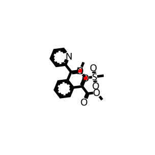 CO/C=C(/C(=O)OC)c1ccccc1/C(=N\OS(C)(=O)=O)c1ccccn1